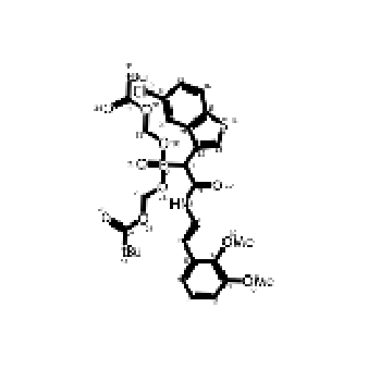 COc1cccc(C=CNC(=O)C(c2csc3ccc(Cl)cc23)P(=O)(OCOC(=O)C(C)(C)C)OCOC(=O)C(C)(C)C)c1OC